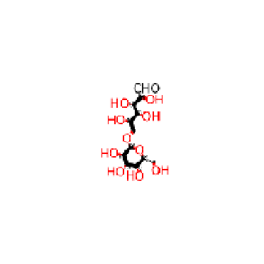 O=C[C@H](O)[C@@H](O)[C@H](O)[C@H](O)CO[C@@H]1O[C@H](CO)[C@H](O)[C@H](O)[C@H]1O